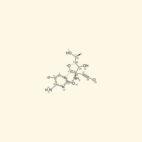 C[C@H](O)[C@H]1O[C@@H](n2cc(F)c(N)nc2=O)[C@@](N)(C#CCl)C1O